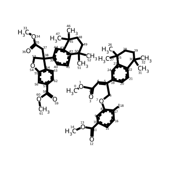 COC(=O)C=C(COc1cc(C(=O)OC)ccc1I)c1ccc2c(c1)C(C)(C)CCC2(C)C.COC(=O)CC1(c2ccc3c(c2)C(C)(C)CCC3(C)C)COc2cc(C(=O)OC)ccc21